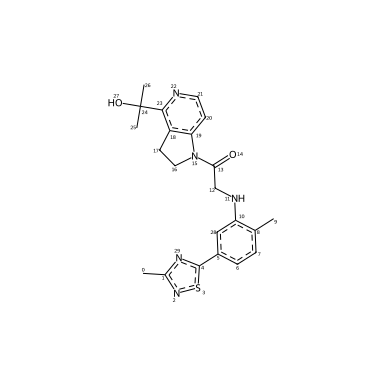 Cc1nsc(-c2ccc(C)c(NCC(=O)N3CCc4c3ccnc4C(C)(C)O)c2)n1